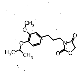 COc1cc(CCCN2C(=O)COC2=O)ccc1OC(C)C